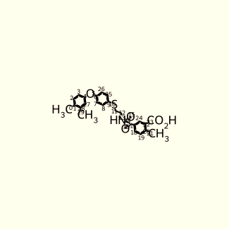 Cc1ccc(Oc2ccc(SCCNS(=O)(=O)c3ccc(C)c(C(=O)O)c3)cc2)cc1C